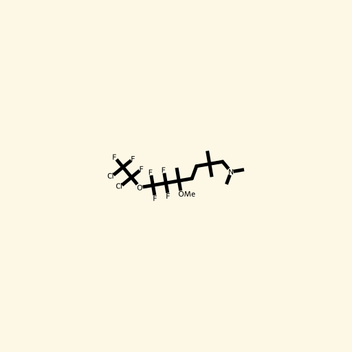 COC(C)(CCC(C)(C)CN(C)C)C(F)(F)C(F)(F)OC(F)(Cl)C(F)(F)Cl